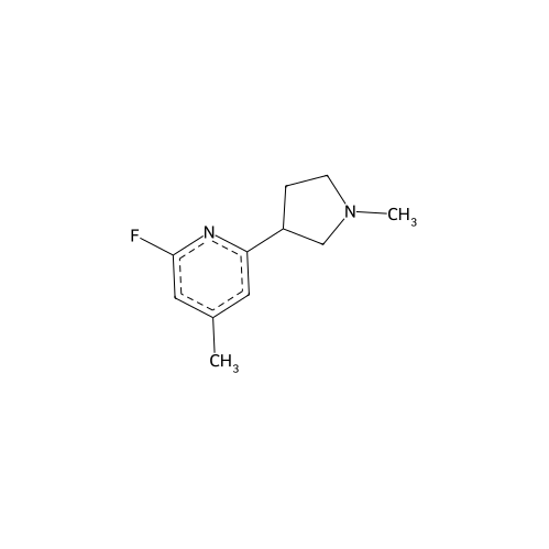 Cc1cc(F)nc(C2CCN(C)C2)c1